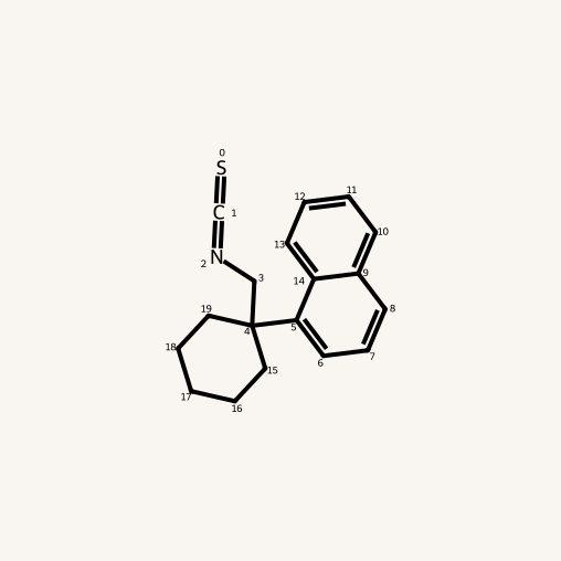 S=C=NCC1(c2cccc3ccccc23)CCCCC1